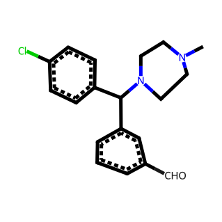 CN1CCN(C(c2ccc(Cl)cc2)c2cccc(C=O)c2)CC1